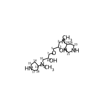 CN(C[C@@H](O)COC[C@H](O)CN(C)C1CCNCC1)C1CCNCC1